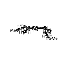 COC(=O)N[C@H](C(=O)N1CCCC1c1ncc(-c2cn3cc(C#Cc4cnc([C@@H]5CCCN5C(=O)[C@@H](NC(=O)OC)C(C)C)[nH]4)nc3s2)[nH]1)C(C)C